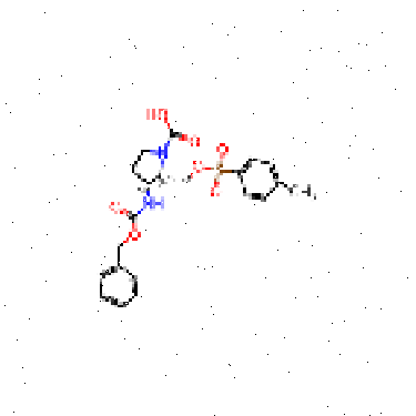 Cc1ccc(S(=O)(=O)OC[C@@H]2[C@@H](NC(=O)OCc3ccccc3)CCN2C(=O)O)cc1